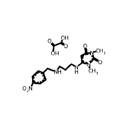 Cn1c(NCCCNCc2ccc([N+](=O)[O-])cc2)cc(=O)n(C)c1=O.O=C(O)C(=O)O